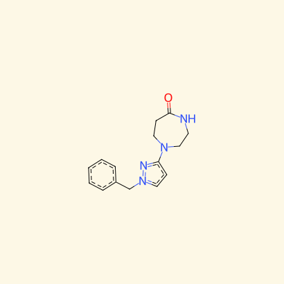 O=C1CCN(c2ccn(Cc3ccccc3)n2)CCN1